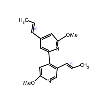 C/C=C/c1cc(OC)nc(-c2cc(OC)ncc2/C=C/C)c1